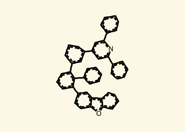 c1ccc(-c2cc(-c3cccc(-c4cccc(-c5ccc6oc7ccccc7c6c5)c4-c4ccccc4)c3)cc(-c3ccccc3)n2)cc1